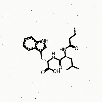 CCCC(=O)N[C@@H](CC(C)C)C(=O)N[C@@H](Cc1c[nH]c2ccccc12)C(=O)O